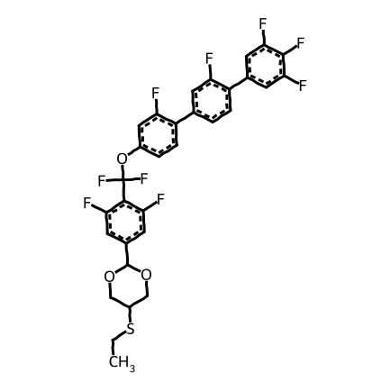 CCSC1COC(c2cc(F)c(C(F)(F)Oc3ccc(-c4ccc(-c5cc(F)c(F)c(F)c5)c(F)c4)c(F)c3)c(F)c2)OC1